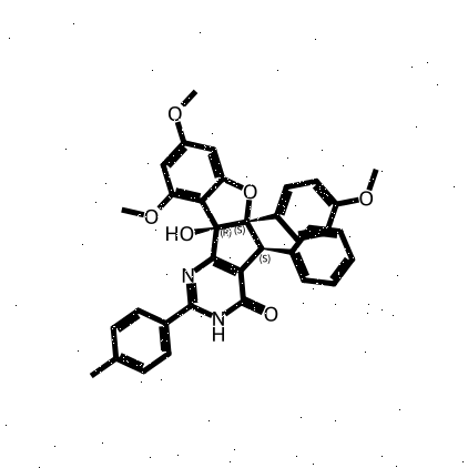 COc1ccc([C@]23Oc4cc(OC)cc(OC)c4[C@@]2(O)c2nc(-c4ccc(C)cc4)[nH]c(=O)c2[C@@H]3c2ccccc2)cc1